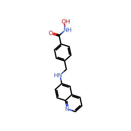 O=C(NO)c1ccc(CNc2ccc3ncccc3c2)cc1